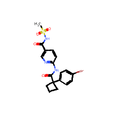 CS(=O)(=O)NC(=O)c1ccc(NC(=O)C2(c3ccc(Br)cc3)CCC2)nc1